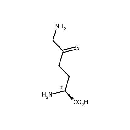 NCC(=S)CC[C@H](N)C(=O)O